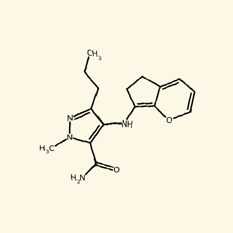 CCCc1nn(C)c(C(N)=O)c1NC1=C2OC=CC=C2CC1